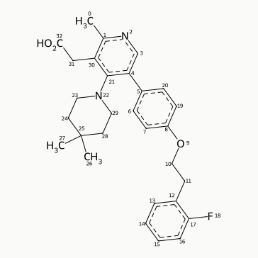 Cc1ncc(-c2ccc(OCCc3ccccc3F)cc2)c(N2CCC(C)(C)CC2)c1CC(=O)O